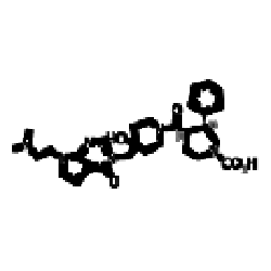 CN(C)CCn1ccc2c(=O)n(CC3(O)CCN(C(=O)[C@@H]4CCN(C(=O)O)C[C@H]4c4ccccc4)CC3)cnc21